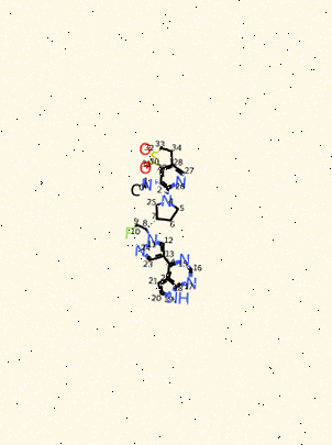 [C-]#[N+]c1c(N2CC[C@H](C(CF)n3cc(-c4ncnc5[nH]ccc45)cn3)C2)ncc2c1S(=O)(=O)CC2